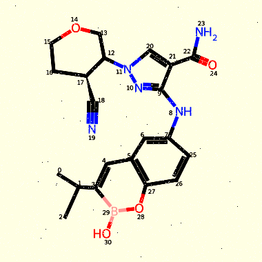 CC(C)C1=Cc2cc(Nc3nn(C4COCC[C@@H]4C#N)cc3C(N)=O)ccc2OB1O